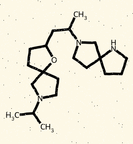 CC(C)N1CCC2(CCC(CC(C)N3CCC4(CCCN4)C3)O2)C1